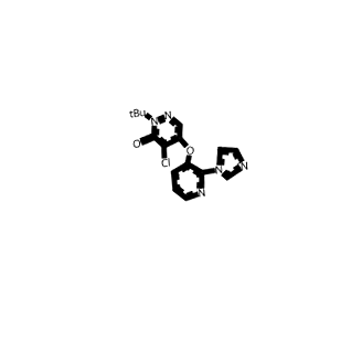 CC(C)(C)n1ncc(Oc2cccnc2-n2ccnc2)c(Cl)c1=O